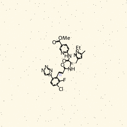 CCn1nc(C[C@H](NC(=O)/C=C/c2c(-n3cnnn3)ccc(Cl)c2F)C(=O)Nc2ccc(C(=O)OC)cn2)cc1C